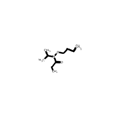 CCCCON(C(=O)CC)C(C)C